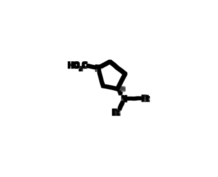 CCN(CC)[C@H]1CCN(C(=O)O)C1